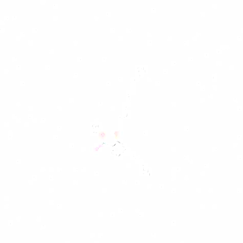 CCCCCCCCCCOc1cc(CCCC)ccc1C(=O)OCC